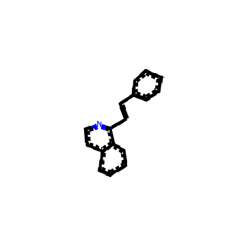 [c]1ccc(C=Cc2nccc3ccccc23)cc1